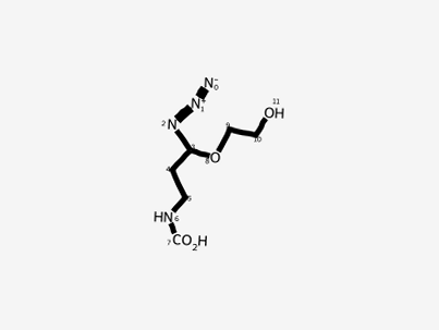 [N-]=[N+]=NC(CCNC(=O)O)OCCO